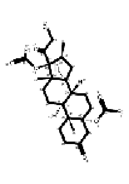 CCC(=O)O[C@@]12CC[C@H]3[C@@H]4C[C@H](C)[C@@](OC(=O)CC)(C(=O)CCl)[C@@]4(C)CC[C@@H]3[C@@]1(C)CCC(=O)C2